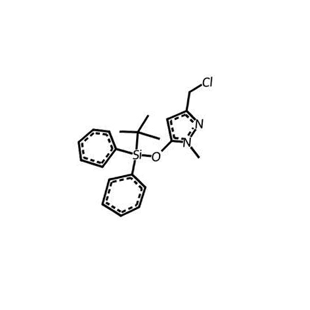 Cn1nc(CCl)cc1O[Si](c1ccccc1)(c1ccccc1)C(C)(C)C